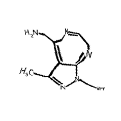 Cc1nn(C(C)C)c2ncnc(N)c12